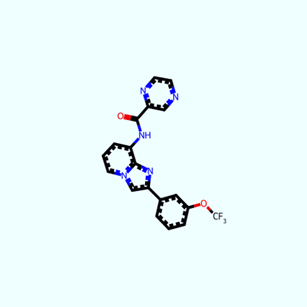 O=C(Nc1cccn2cc(-c3cccc(OC(F)(F)F)c3)nc12)c1cnccn1